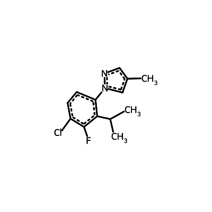 Cc1cnn(-c2ccc(Cl)c(F)c2C(C)C)c1